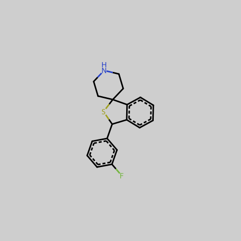 Fc1cccc(C2SC3(CCNCC3)c3ccccc32)c1